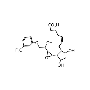 O=C(O)CCC/C=C\C[C@@H]1[C@@H]([C@H]2OC2C(O)COc2cccc(C(F)(F)F)c2)[C@H](O)C[C@@H]1O